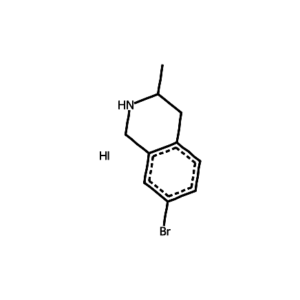 CC1Cc2ccc(Br)cc2CN1.I